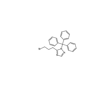 BrCCCc1ncnn1C(c1ccccc1)(c1ccccc1)c1ccccc1